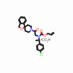 C=CCOC(=O)N(CC(=O)N1CCC2(CC1)OCc1ccccc12)[C@@](C)(C(=O)O)c1ccc(Cl)cc1